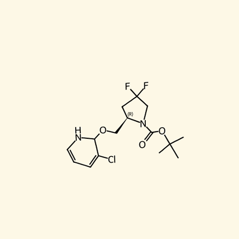 CC(C)(C)OC(=O)N1CC(F)(F)C[C@@H]1COC1NC=CC=C1Cl